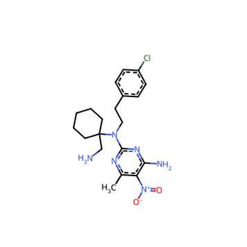 Cc1nc(N(CCc2ccc(Cl)cc2)C2(CN)CCCCC2)nc(N)c1[N+](=O)[O-]